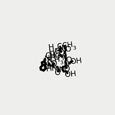 CNN(C)Cc1cc2ccccc2n1CCC(=O)NCC(=O)N(CCO)CC(=O)N(CCO)CC(=O)N(CCO)CCC(=O)N(C)C(C)C(=O)O